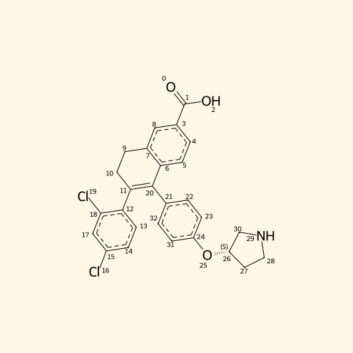 O=C(O)c1ccc2c(c1)CCC(c1ccc(Cl)cc1Cl)=C2c1ccc(O[C@H]2CCNC2)cc1